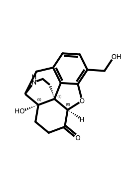 O=C1CC[C@@]2(O)C3Cc4ccc(CO)c5c4[C@@]2(CCN3)[C@H]1O5